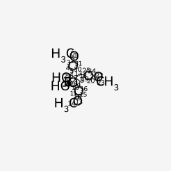 COc1ccc(CC(Cc2ccc(OC)cc2)(Cc2ccc(OC)cc2)OB(O)O)cc1